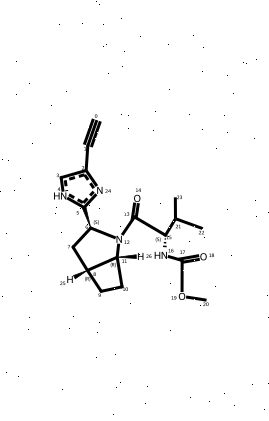 C#Cc1c[nH]c([C@@H]2C[C@H]3CC[C@H]3N2C(=O)[C@@H](NC(=O)OC)C(C)C)n1